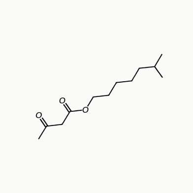 CC(=O)CC(=O)OCCCCCC(C)C